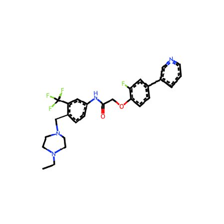 CCN1CCN(Cc2ccc(NC(=O)COc3ccc(-c4cccnc4)cc3F)cc2C(F)(F)F)CC1